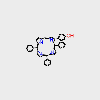 Oc1ccc(C2=CC3=CC4=NC(=C(c5ccccc5)C5=NC(=C(c6ccccc6)C6=NC(=C(c7ccccc7)C2=N3)C=C6)C=C5)C=C4)cc1